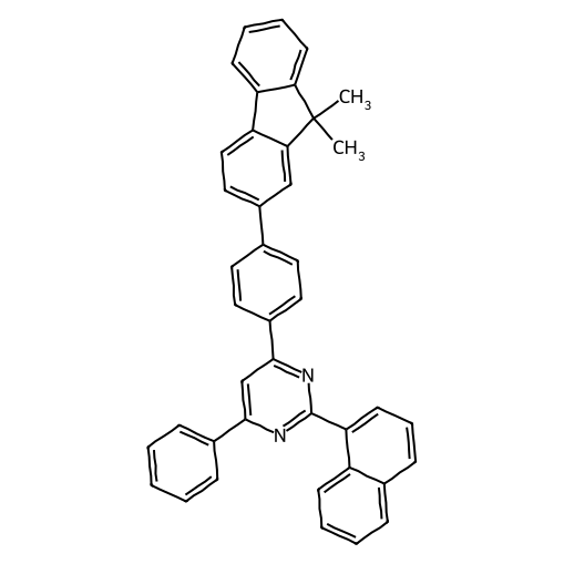 CC1(C)c2ccccc2-c2ccc(-c3ccc(-c4cc(-c5ccccc5)nc(-c5cccc6ccccc56)n4)cc3)cc21